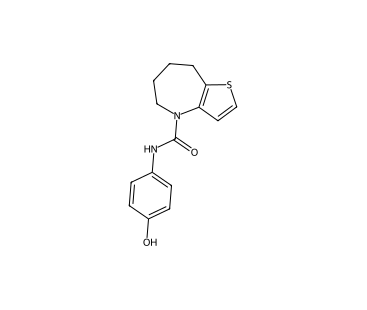 O=C(Nc1ccc(O)cc1)N1CCCCc2sccc21